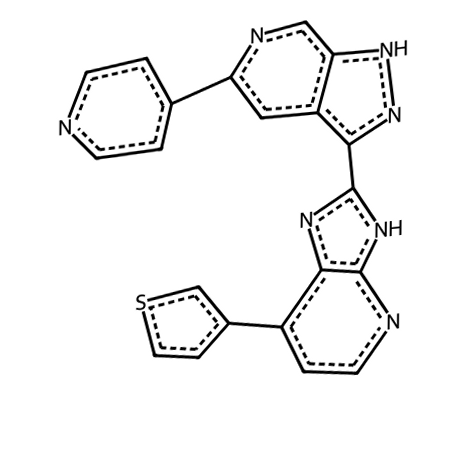 c1cc(-c2cc3c(-c4nc5c(-c6ccsc6)ccnc5[nH]4)n[nH]c3cn2)ccn1